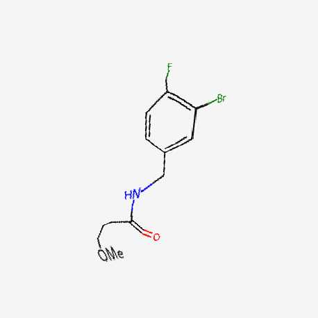 COCC(=O)NCc1ccc(F)c(Br)c1